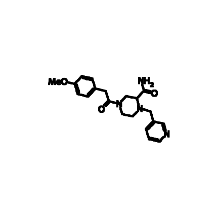 COc1ccc(CC(=O)N2CCN(Cc3cccnc3)C(C(N)=O)C2)cc1